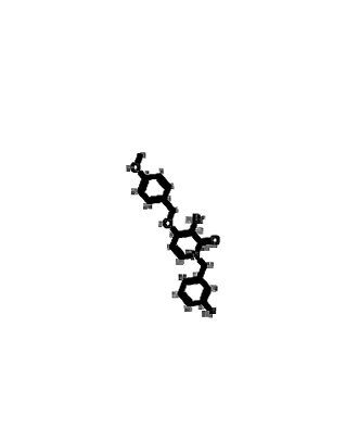 COc1ccc(COc2ccn(Cc3cccc(F)c3)c(=O)c2Br)cc1